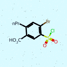 CCCc1cc(Br)c(S(=O)(=O)Cl)cc1C(=O)O